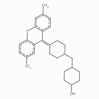 Cc1ccc2c(c1)Sc1ccc(C(F)(F)F)cc1C2=C1CCN(CC2CCC(O)CC2)CC1